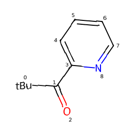 CC(C)(C)C(=O)c1ccccn1